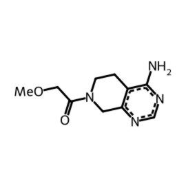 COCC(=O)N1CCc2c(N)ncnc2C1